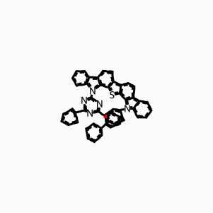 c1ccc(-c2ccc(-n3c4ccccc4c4ccc5c6ccc7c8ccccc8n(-c8nc(-c9ccccc9)nc(-c9ccccc9)n8)c7c6sc5c43)cc2)cc1